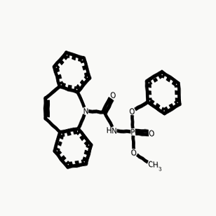 COP(=O)(NC(=O)N1c2ccccc2C=Cc2ccccc21)Oc1ccccc1